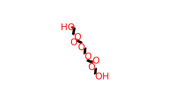 O=C(COCCOCC(=O)OCCO)OCCO